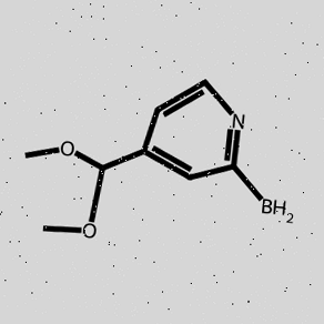 Bc1cc(C(OC)OC)ccn1